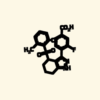 Cc1cccc(Cl)c1S(=O)(=O)C1CCCc2[nH]nc(-c3ccc(C(=O)O)cc3F)c21